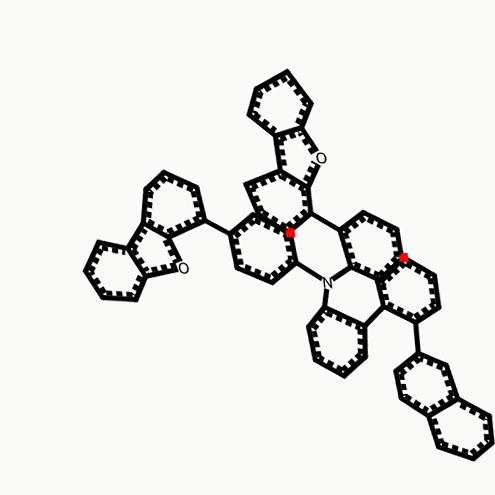 c1ccc(-c2ccccc2N(c2ccc(-c3cccc4c3oc3ccccc34)cc2)c2ccccc2-c2cccc3c2oc2ccccc23)c(-c2ccc3ccccc3c2)c1